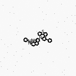 N=C1/C(=N\Nc2ccccc2)C=Cc2ccc3cc(N(c4ccc(-c5ccccc5)cc4)c4cccc5sc6ccccc6c45)ccc3c21